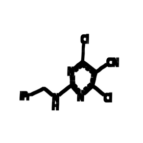 CC(C)CNc1nc(Cl)c(C#N)c(Cl)n1